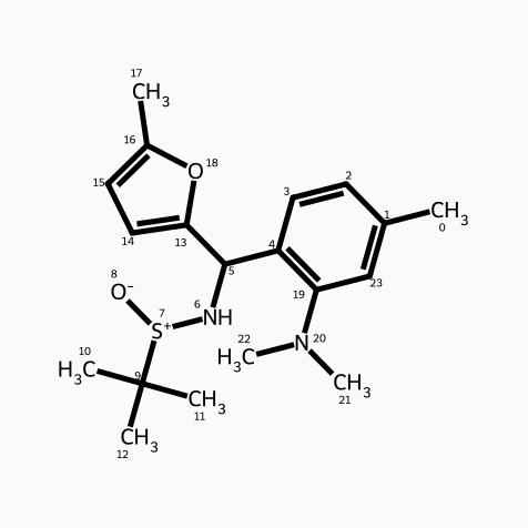 Cc1ccc(C(N[S+]([O-])C(C)(C)C)c2ccc(C)o2)c(N(C)C)c1